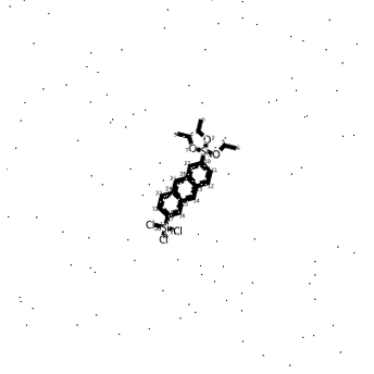 CCO[Si](OCC)(OCC)c1ccc2cc3cc([Si](Cl)(Cl)Cl)ccc3cc2c1